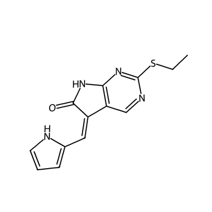 CCSc1ncc2c(n1)NC(=O)C2=Cc1ccc[nH]1